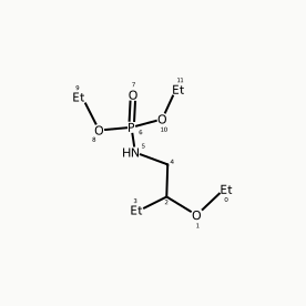 CCOC(CC)CNP(=O)(OCC)OCC